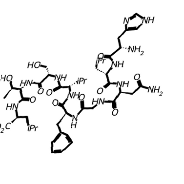 CC(C)C[C@H](NC(=O)[C@@H](NC(=O)[C@H](CO)NC(=O)[C@@H](NC(=O)[C@H](Cc1ccccc1)NC(=O)CNC(=O)[C@H](CC(N)=O)NC(=O)[C@H](CC(C)C)NC(=O)[C@@H](N)Cc1c[nH]cn1)C(C)C)[C@@H](C)O)C(=O)O